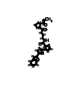 COC(=O)C1CCCN1C(=O)CCCNC(=O)c1sccc1-c1nc(-c2cc3ccccc3o2)cs1